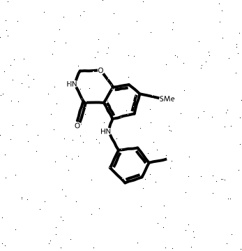 CSc1cc(Nc2cccc(C)c2)c2c(c1)OCNC2=O